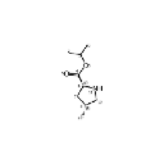 CC(C)OC(=O)[C@@H]1C[C@@H](F)CN1